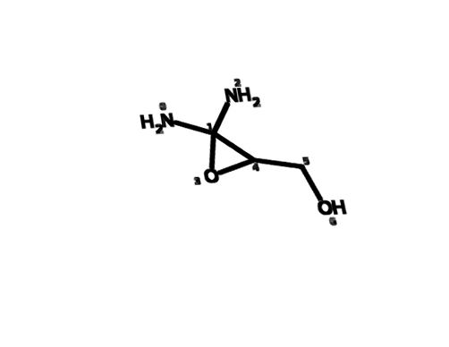 NC1(N)OC1CO